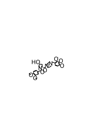 COc1ccc(C(=O)N2C[C@H](O)C[C@H]2C(=O)N2CCN(Cc3ccc(OC)c(OC)c3OC)CC2)cc1OC